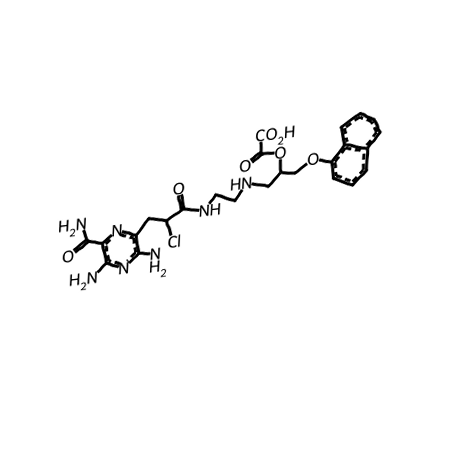 NC(=O)c1nc(CC(Cl)C(=O)NCCNCC(COc2cccc3ccccc23)OC(=O)C(=O)O)c(N)nc1N